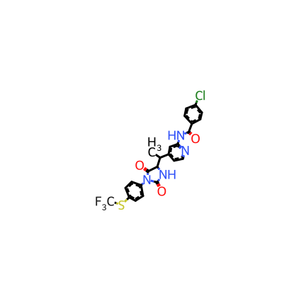 CC(c1ccnc(NC(=O)c2ccc(Cl)cc2)c1)C1NC(=O)N(c2ccc(SC(F)(F)F)cc2)C1=O